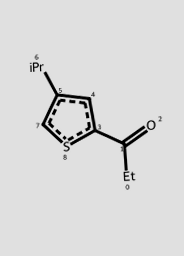 CCC(=O)c1cc(C(C)C)cs1